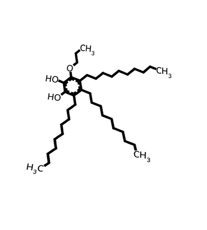 CCCCCCCCCCc1c(O)c(O)c(OCCC)c(CCCCCCCCCC)c1CCCCCCCCCC